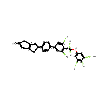 CC1CC2CC(c3ccc(-c4cc(F)c(C(F)(F)Oc5cc(F)c(F)c(F)c5)c(F)c4)cc3)CC2C1